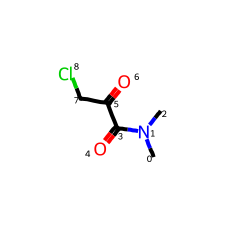 CN(C)C(=O)C(=O)CCl